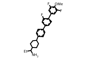 CCC(N)C1CCC(c2ccc(-c3ccc(-c4cc(F)c(OC)c(F)c4)c(F)c3)cc2)CC1